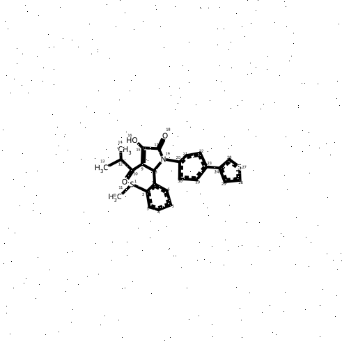 CSc1ccccc1C1C(C(=O)C(C)C)=C(O)C(=O)N1c1ccc(-c2ccsc2)cc1